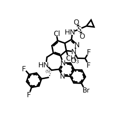 CC12C3=C(C=C(Cl)C1C(NS(=O)(=O)C1CC1)=NN2CC(F)F)CN[C@@H](Cc1cc(F)cc(F)c1)c1nc2cc(Br)ccc2c(=O)n13